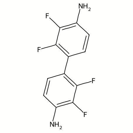 Nc1ccc(-c2ccc(N)c(F)c2F)c(F)c1F